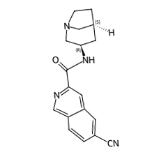 N#Cc1ccc2cnc(C(=O)N[C@@H]3C[C@@H]4CCN(C4)C3)cc2c1